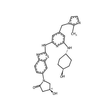 Cc1nccn1Cc1cc(Nc2nc3ccc(N4C[C@@H](O)CC4=O)cc3s2)nc(N[C@H]2CC[C@H](O)CC2)c1